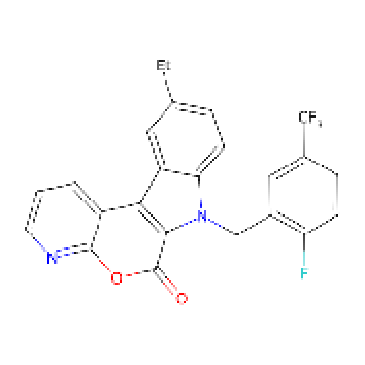 CCc1ccc2c(c1)c1c3cccnc3oc(=O)c1n2Cc1cc(C(F)(F)F)ccc1F